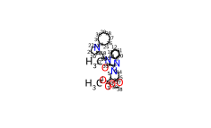 COC(=O)C1CN(c2nc3ccccc3n([C@@H](C)C[C@@H]3CCCN3C3CCCCCCC3)c2=O)CCC12OCCO2